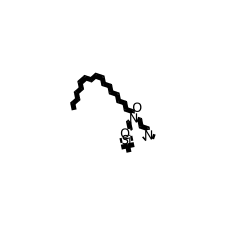 CCCCC/C=C\C/C=C\CCCCCCCC(=O)N(CCCN(C)C)CCO[Si](C)(C)C(C)(C)C